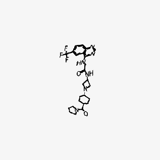 O=C(CNc1ncnc2ccc(C(F)(F)F)cc12)NC1CN([C@H]2CC[C@H](C(=O)N3CCCC3)CC2)C1